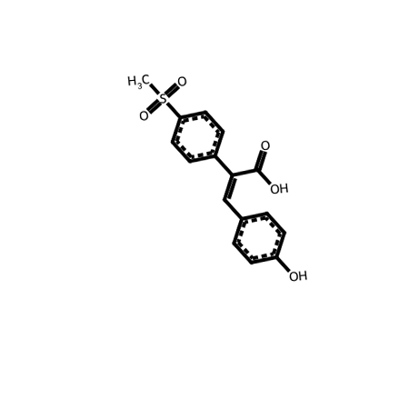 CS(=O)(=O)c1ccc(C(=Cc2ccc(O)cc2)C(=O)O)cc1